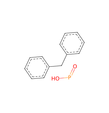 O=PO.c1ccc(Cc2ccccc2)cc1